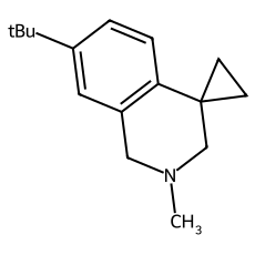 CN1Cc2cc(C(C)(C)C)ccc2C2(CC2)C1